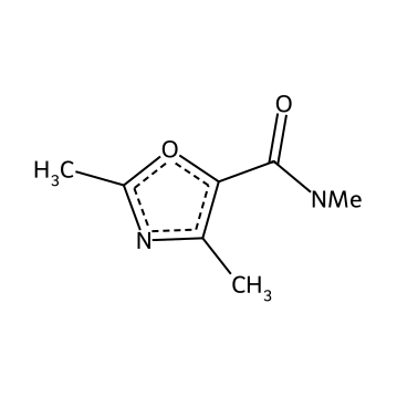 CNC(=O)c1oc(C)nc1C